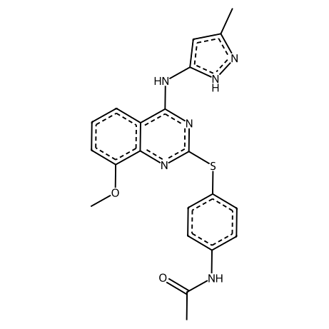 COc1cccc2c(Nc3cc(C)n[nH]3)nc(Sc3ccc(NC(C)=O)cc3)nc12